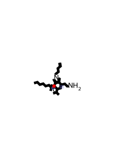 C=CCCCn1cc(C(C)=O)c(/C(=C\C(/C=C(\C)CCCCCC)C(C)C)CCN)c1